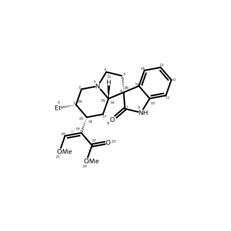 CC[C@@H]1CN2CC[C@]3(C(=O)Nc4ccccc43)[C@@H]2C[C@@H]1/C(=C/OC)C(=O)OC